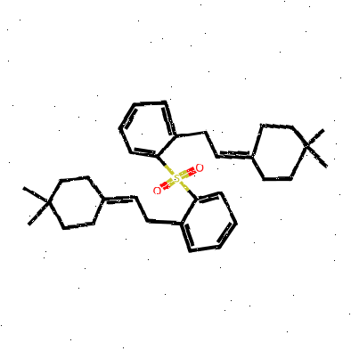 CC1(C)CCC(=CCc2ccccc2S(=O)(=O)c2ccccc2CC=C2CCC(C)(C)CC2)CC1